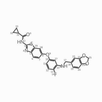 O=C(Nc1nc2ccc(Oc3ccc(F)c(NCc4ccc5c(c4)OCO5)c3)cc2s1)C1CC1